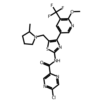 COc1ncc(-c2nc(NC(=O)c3cnc(Cl)cn3)sc2CN2CCCC2C)cc1C(F)(F)F